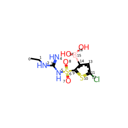 CCNC(=N)NS(=O)(=O)c1sc(Cl)cc1B(O)O